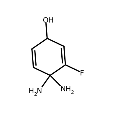 NC1(N)C=CC(O)C=C1F